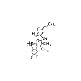 C=C/C=C(F)\C=C(/C)NC(=O)N(C)C(C)c1c[nH]c(=O)c2cc(F)c(F)cc12